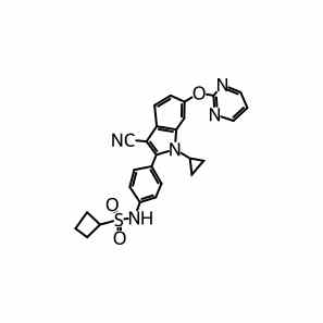 N#Cc1c(-c2ccc(NS(=O)(=O)C3CCC3)cc2)n(C2CC2)c2cc(Oc3ncccn3)ccc12